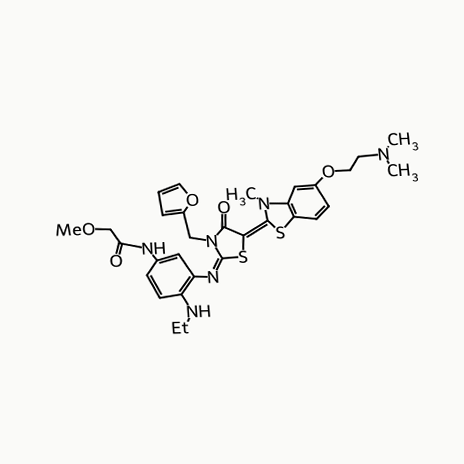 CCNc1ccc(NC(=O)COC)cc1/N=C1/S/C(=C2\Sc3ccc(OCCN(C)C)cc3N2C)C(=O)N1Cc1ccco1